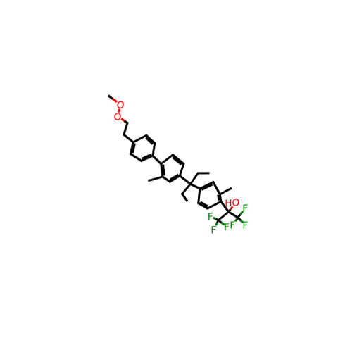 CCC(CC)(c1ccc(-c2ccc(CCOOC)cc2)c(C)c1)c1ccc(C(O)(C(F)(F)F)C(F)(F)F)c(C)c1